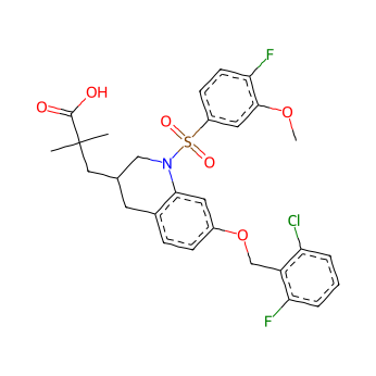 COc1cc(S(=O)(=O)N2CC(CC(C)(C)C(=O)O)Cc3ccc(OCc4c(F)cccc4Cl)cc32)ccc1F